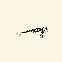 CCCCCCCCCCC(O)CN(CC#CC(C)C(O)C(=O)OCC)CCO